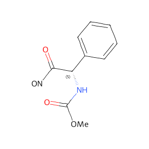 COC(=O)N[C@H](C(=O)N=O)c1ccccc1